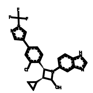 OC1[C@H](C2CC2)[C@H](c2ccc(-c3cnn(C(F)(F)F)c3)cc2Cl)N1c1ccc2[nH]cnc2c1